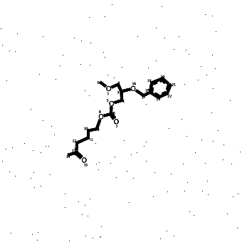 COCC(COC(=O)OCCCCC(C)=O)OCc1ccccc1